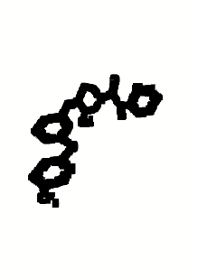 O=C(Nc1cccnn1)N1CC/C(=C/c2cccc(Oc3ccc(C(F)(F)F)cn3)c2)[C@H](O)C1